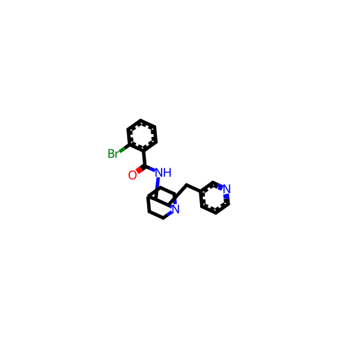 O=C(NC1C2CCN(CC2)C1Cc1cccnc1)c1ccccc1Br